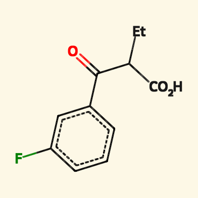 CCC(C(=O)O)C(=O)c1cccc(F)c1